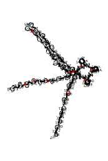 COCCOCCOCCOCCOCCOCCOCCOCCOc1c(OCCOCCOCCOCCOCCOCCOCCOCCOC)c(OCCOCCOCCOCCOCCOCCOCCOCCOC)c2c3nc4nc(nc5[nH]c(nc6nc(nc([nH]3)c2c1OCCOCCOCCOCCOCCOCCOCCOCCOC)-c1ccccc1-6)c1ccccc51)-c1ccccc1-4